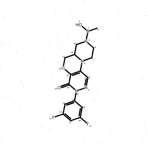 CB(O)N1CCN2c3cnn(-c4cc(F)cc(F)c4)c(=O)c3OCC2C1